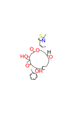 CC(=Cc1csc(C)n1)[C@@H]1C[C@@H]2O[C@@]2(C)CCC[C@H](C)[C@@H](O)[C@H](Cc2ccccc2)C(=O)C(C)(C)[C@@H](O)CC(=O)O1